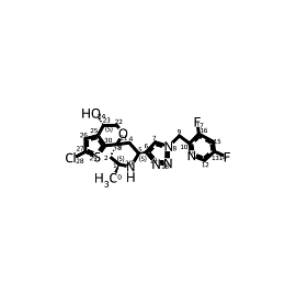 C[C@H]1C[C@@]2(C[C@@H](c3cn(Cc4ncc(F)cc4F)nn3)N1)OC[C@@H](O)c1cc(Cl)sc12